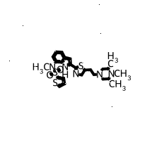 CC1CN(CCC2CN=C(c3cc4cccc(N(C)S(=O)(=O)c5cccs5)c4[nH]3)S2)CC(C)N1C